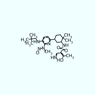 C/C(O)=C(/C=N)S(=O)(=O)NC1CC(c2ccc(NCC(C)(C)C)c(N(C)N=O)n2)CCC1(C)C